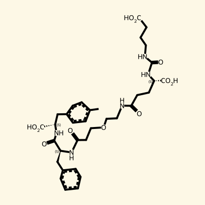 Cc1ccc(C[C@H](NC(=O)[C@H](Cc2ccccc2)NC(=O)CCOCCNC(=O)CC[C@H](NC(=O)NCCCC(=O)O)C(=O)O)C(=O)O)cc1